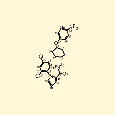 O=C(NC[C@H]1CC[C@@H](Oc2ccc(C(F)(F)F)nc2)CC1)c1cccn1-c1ncc(Cl)cc1Cl